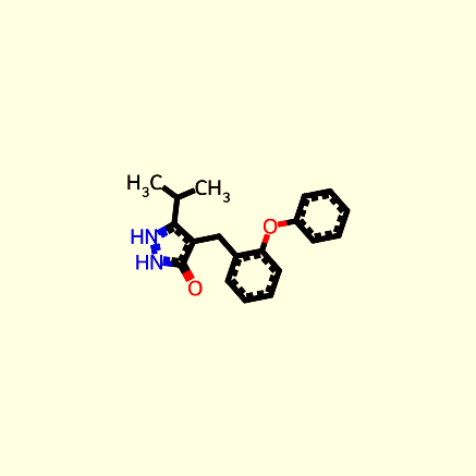 CC(C)c1[nH][nH]c(=O)c1Cc1ccccc1Oc1ccccc1